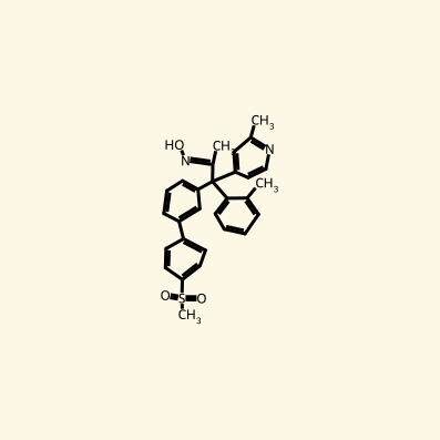 CC(=NO)C(c1cccc(-c2ccc(S(C)(=O)=O)cc2)c1)(c1ccnc(C)c1)c1ccccc1C